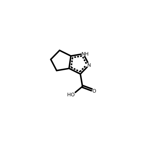 O=C(O)c1n[nH]c2c1CCC2